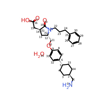 NC[C@H]1CC[C@H](c2ccc(OC[C@@H]3C[C@@H](CC(=O)O)C(=O)N3CCCc3ccccc3)cc2)CC1.O